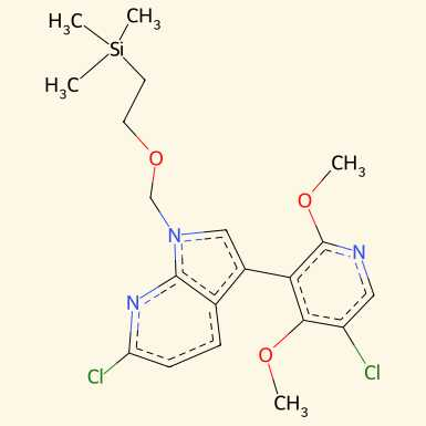 COc1ncc(Cl)c(OC)c1-c1cn(COCC[Si](C)(C)C)c2nc(Cl)ccc12